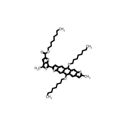 CCCCCCCCOC(=O)c1cc2c(C)sc(-c3cc4cc5c(OCCCCCCCC)c6cc7sc(C)cc7cc6c(OCCCCCCCC)c5cc4s3)c2s1